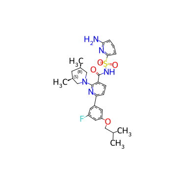 CC(C)COc1cc(F)cc(-c2ccc(C(=O)NS(=O)(=O)c3cccc(N)n3)c(N3C[C@H](C)C[C@H](C)C3)n2)c1